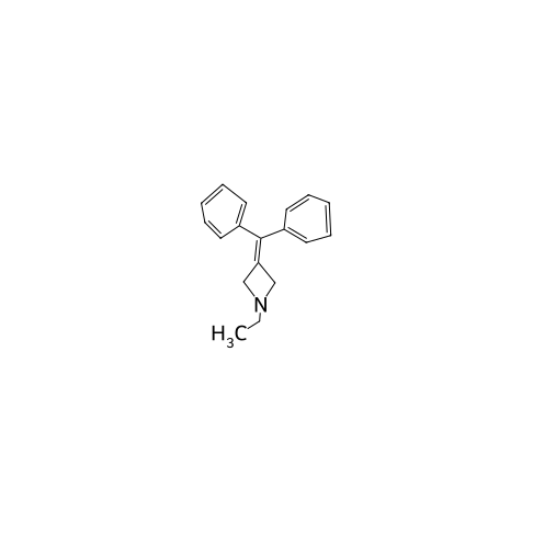 CCN1CC(=C(c2ccccc2)c2ccccc2)C1